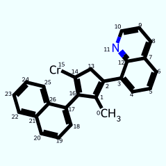 CC1=C(c2cccc3cccnc23)C[C]([Cr])=C1c1cccc2ccccc12